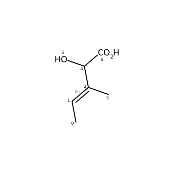 C/C=C(\C)C(O)C(=O)O